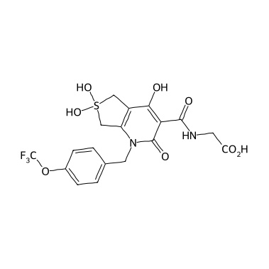 O=C(O)CNC(=O)c1c(O)c2c(n(Cc3ccc(OC(F)(F)F)cc3)c1=O)CS(O)(O)C2